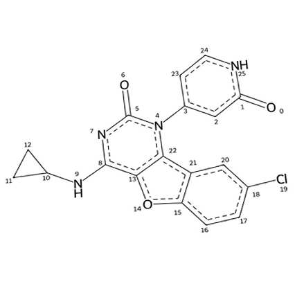 O=c1cc(-n2c(=O)nc(NC3CC3)c3oc4ccc(Cl)cc4c32)cc[nH]1